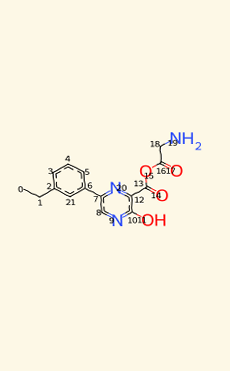 CCc1cccc(-c2cnc(O)c(C(=O)OC(=O)CN)n2)c1